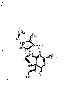 NC1=NC(=O)C2(C=CBr)N=CN([C@@H]3O[C@H](CO)[C@@H](O)[C@H]3O)C2=N1